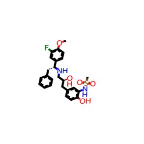 COc1ccc([C@@H](Cc2ccccc2)NC[C@@H](O)Cc2ccc(O)c(NS(C)(=O)=O)c2)cc1F